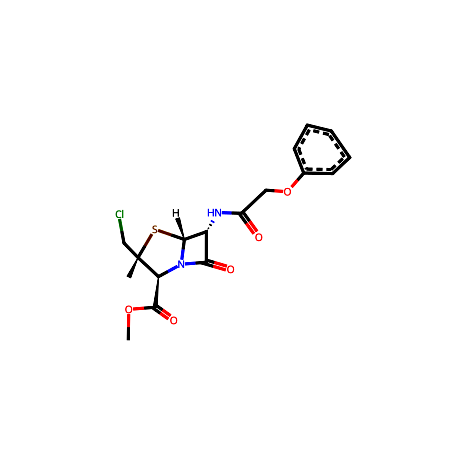 COC(=O)[C@@H]1N2C(=O)[C@@H](NC(=O)COc3ccccc3)[C@H]2S[C@@]1(C)CCl